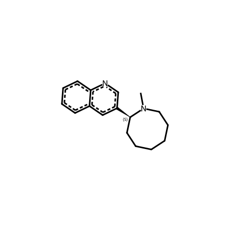 CN1CCCCCC[C@H]1c1cnc2ccccc2c1